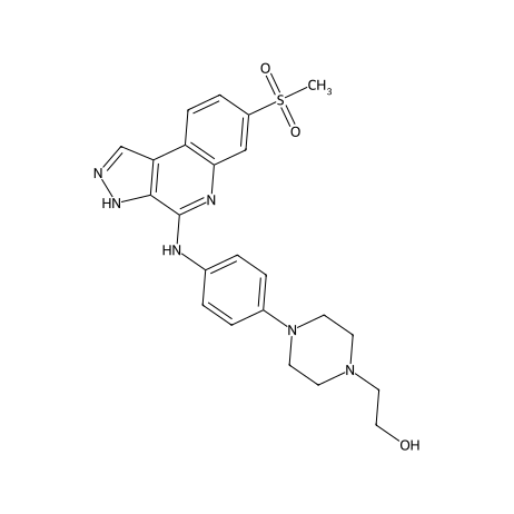 CS(=O)(=O)c1ccc2c(c1)nc(Nc1ccc(N3CCN(CCO)CC3)cc1)c1[nH]ncc12